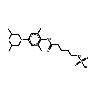 Cc1cc(N2CC(C)OC(C)C2)cc(C)c1NC(=O)CCCCNS(=O)(=O)C(C)(C)C